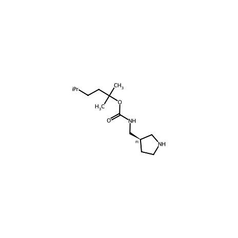 CC(C)CCC(C)(C)OC(=O)NC[C@@H]1CCNC1